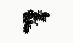 COc1nc(-c2cccc(-c3ccnc(-c4cnc5c(CNC[C@H]6CCO6)cn(C)c5c4)c3Cl)c2Cl)ccc1CNC[C@H]1CCC(=O)N1